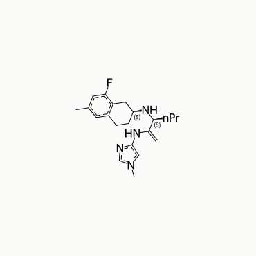 C=C(Nc1cn(C)cn1)[C@H](CCC)N[C@H]1CCc2cc(C)cc(F)c2C1